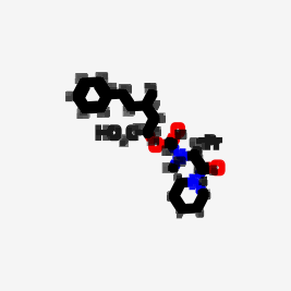 CCCC(C(=O)N1CCCCC1)N(C)C(=O)O[C@@H](CC(C)CCc1ccccc1)C(=O)O